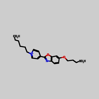 O=C(O)CCCCC[n+]1ccc(-c2nc3ccc(OCCCS(=O)(=O)O)cc3o2)cc1